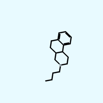 CCCCN1CCC2c3ccccc3CCC2C1